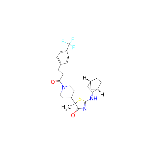 CC1(C2CCN(C(=O)CCc3ccc(C(F)(F)F)cc3)CC2)SC(N[C@H]2C[C@@H]3CC[C@H]2C3)=NC1=O